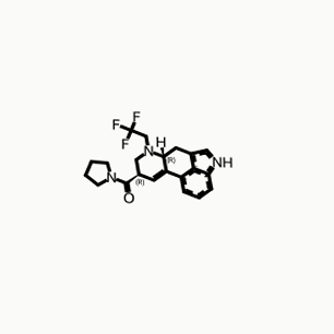 O=C([C@@H]1C=C2c3cccc4[nH]cc(c34)C[C@H]2N(CC(F)(F)F)C1)N1CCCC1